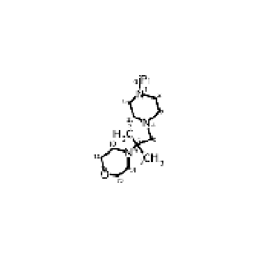 CC(C)N1CCN(CC(C)(C)N2CCOCC2)CC1